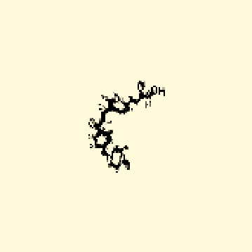 CN1CCN(Cc2ccc(C(=O)C=Cc3ccc(C=CC(=O)NO)nc3)cc2)CC1